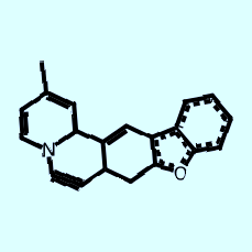 CC1=CC2C3=Cc4c(oc5ccccc45)CC3C#CN2C=C1